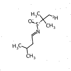 [2H]CC(C)(C)[S@+]([O-])/N=C/CC(C)C